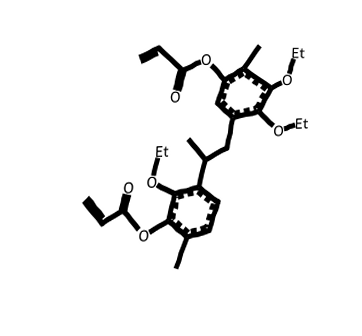 C=CC(=O)Oc1cc(CC(C)c2ccc(C)c(OC(=O)C=C)c2OCC)c(OCC)c(OCC)c1C